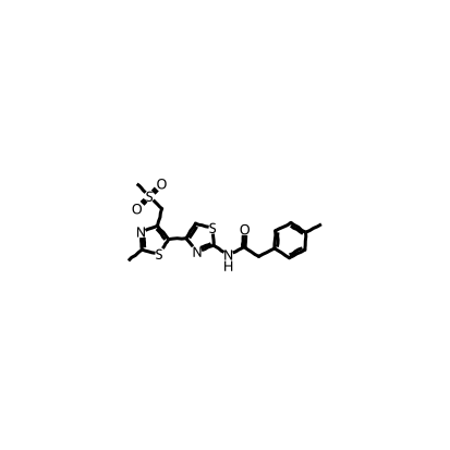 Cc1ccc(CC(=O)Nc2nc(-c3sc(C)nc3CS(C)(=O)=O)cs2)cc1